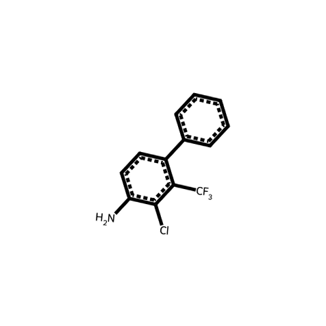 Nc1ccc(-c2ccccc2)c(C(F)(F)F)c1Cl